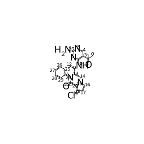 CC(=O)c1cnc(N)nc1NC(C)c1cn2ccc(Cl)c2c(=O)n1-c1ccccc1